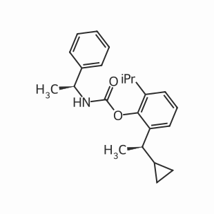 CC(C)c1cccc([C@H](C)C2CC2)c1OC(=O)N[C@@H](C)c1ccccc1